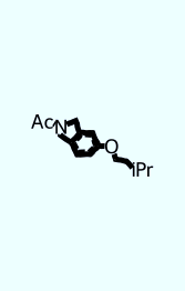 CC(=O)N1Cc2ccc(OCCC(C)C)cc2C1